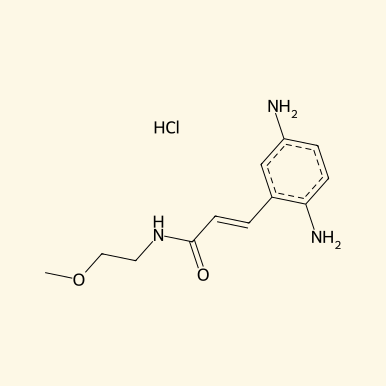 COCCNC(=O)C=Cc1cc(N)ccc1N.Cl